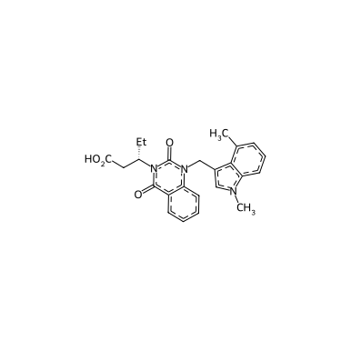 CC[C@@H](CC(=O)O)n1c(=O)c2ccccc2n(Cc2cn(C)c3cccc(C)c23)c1=O